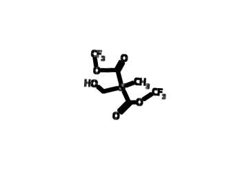 C[Si](CO)(C(=O)OC(F)(F)F)C(=O)OC(F)(F)F